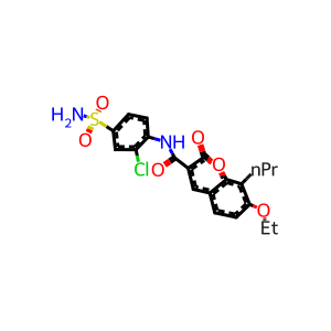 CCCc1c(OCC)ccc2cc(C(=O)Nc3ccc(S(N)(=O)=O)cc3Cl)c(=O)oc12